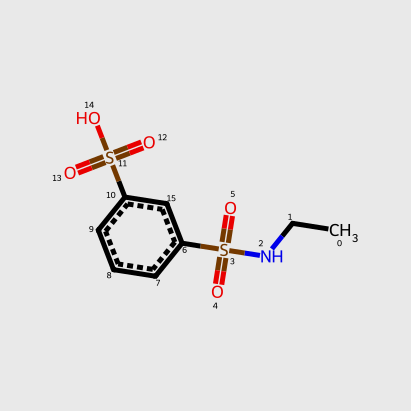 CCNS(=O)(=O)c1cccc(S(=O)(=O)O)c1